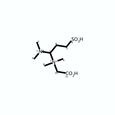 C[N+](C)C(CCS(=O)(=O)O)[N+](C)(C)CC(=O)O